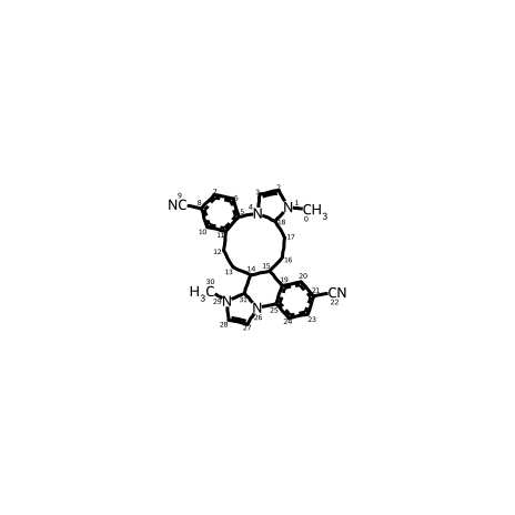 CN1C=CN2c3ccc(C#N)cc3CCC3C(CCC12)c1cc(C#N)ccc1N1C=CN(C)C31